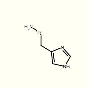 N[13CH2]Cc1c[nH]cn1